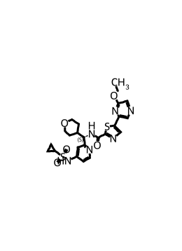 CCOc1cncc(-c2cnc(C(=O)N[C@H](c3cc(NS(=O)(=O)C4CC4)ccn3)C3CCOCC3)s2)n1